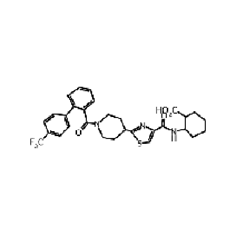 O=C(NC1CCCCC1C(=O)O)c1csc(C2CCN(C(=O)c3ccccc3-c3ccc(C(F)(F)F)cc3)CC2)n1